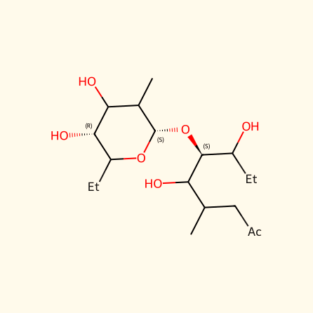 CCC1O[C@@H](O[C@@H](C(O)CC)C(O)C(C)CC(C)=O)C(C)C(O)[C@H]1O